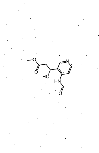 COC(=O)CC(O)c1cnccc1NC=O